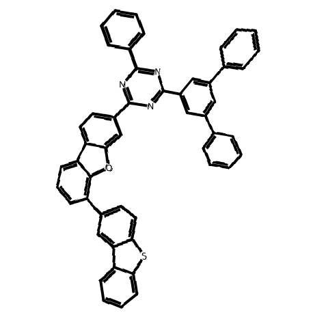 c1ccc(-c2cc(-c3ccccc3)cc(-c3nc(-c4ccccc4)nc(-c4ccc5c(c4)oc4c(-c6ccc7sc8ccccc8c7c6)cccc45)n3)c2)cc1